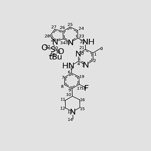 Cc1cnc(Nc2ccc(C3CCN(C)CC3)c(F)c2)nc1Nc1ccc2ccn(S(=O)(=O)C(C)(C)C)c2n1